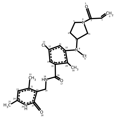 C=CC(=O)N1CCC(N(CC)c2cc(Cl)cc(C(=O)NCc3c(C)cc(C)[nH]c3=O)c2C)C1